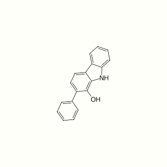 Oc1c(-c2ccccc2)ccc2c1[nH]c1ccccc12